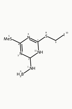 BNC1N=C(SC)N=C(SCI)N1